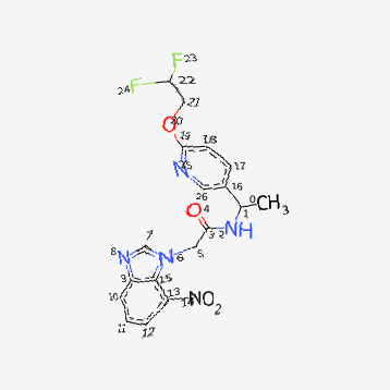 CC(NC(=O)Cn1cnc2cccc([N+](=O)[O-])c21)c1ccc(OCC(F)F)nc1